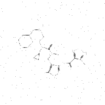 CCN(CC1CCOCC1)[C@H](C)CN(C(=O)N(C)Cc1c(NC(=O)c2nonc2C)n[nH]c1C(C)C)C1CC1